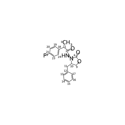 CC(C(=O)NN1C(=O)OCC1Cc1ccccc1)c1ccc(F)cc1